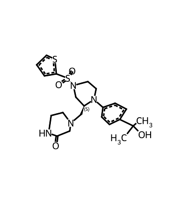 CC(C)(O)c1ccc(N2CCN(S(=O)(=O)c3cccs3)C[C@@H]2CN2CCNC(=O)C2)cc1